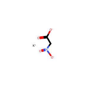 O=C([O-])C[N+](=O)[O-].[K+]